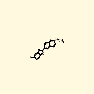 CNc1ccc2cc(-c3nc4cc(F)ccc4o3)ccc2c1